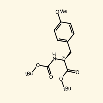 COc1ccc(C[C@H](NC(=O)OC(C)(C)C)C(=O)OC(C)(C)C)cc1